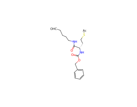 CC(=O)SCC[C@H](NC(=O)OCc1ccccc1)C(=O)NCCCCC=O